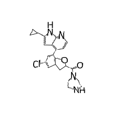 O=C(C1Cc2cc(Cl)cc(-c3ccnc4[nH]c(C5CC5)cc34)c2O1)N1CCNCC1